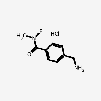 CN(F)C(=O)c1ccc(CN)cc1.Cl